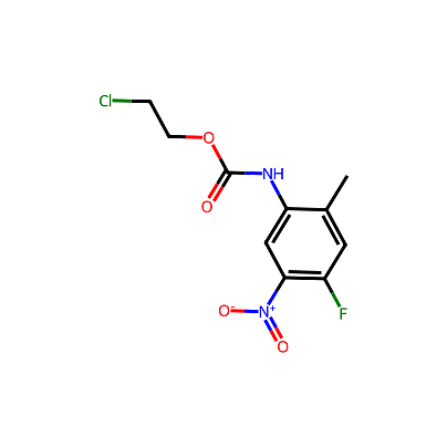 Cc1cc(F)c([N+](=O)[O-])cc1NC(=O)OCCCl